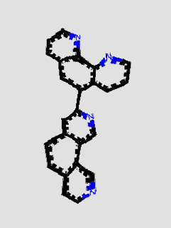 [c]1nc(-c2cc3cccnc3c3ncccc23)cc2ccc3ccncc3c12